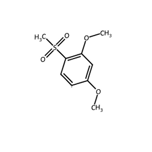 COc1[c]cc(S(C)(=O)=O)c(OC)c1